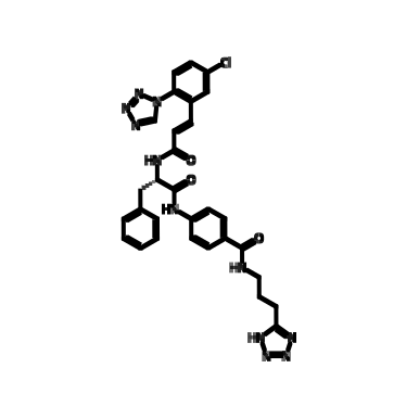 O=C(/C=C/c1cc(Cl)ccc1-n1cnnn1)N[C@@H](Cc1ccccc1)C(=O)Nc1ccc(C(=O)NCCCc2nnn[nH]2)cc1